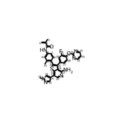 C=C(C)C(=O)Nc1ccc(-c2sc3c(-c4cnn(C)c4)cnc(N)c3c2-c2ccc(Oc3ncccn3)c(F)c2)c(C)c1